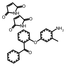 Cc1cc(Oc2ccccc2C(=O)c2ccccc2)ccc1N.O=C1C=CC(=O)N1.O=C1C=CC(=O)N1